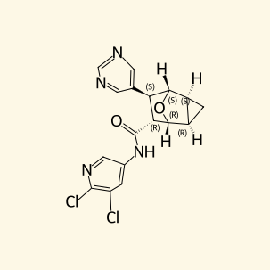 O=C(Nc1cnc(Cl)c(Cl)c1)[C@H]1[C@@H]2O[C@@H]([C@H]3C[C@H]32)[C@@H]1c1cncnc1